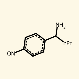 CCCC(N)c1ccc(N=O)cc1